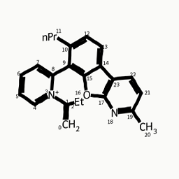 C=C(CC)[n+]1ccccc1-c1c(CCC)ccc2c1oc1nc(C)ccc12